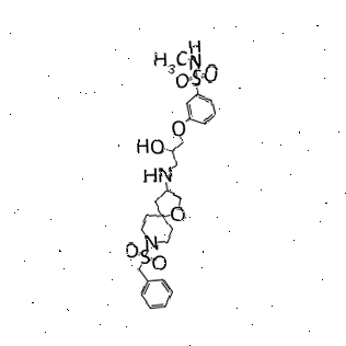 CNS(=O)(=O)c1cccc(OCC(O)CNC2COC3(CCN(S(=O)(=O)Cc4ccccc4)CC3)C2)c1